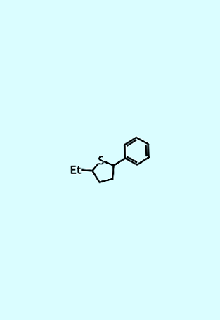 CCC1CCC(c2ccccc2)S1